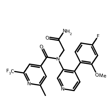 COc1cc(F)ccc1-c1ccncc1N(CC(N)=O)C(=O)c1cc(C)nc(C(F)(F)F)c1